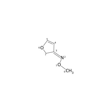 CON=C1C=COC1